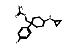 NC(=O)OCC1(c2ccc(F)cc2)CCC(NC2CC2)CC1